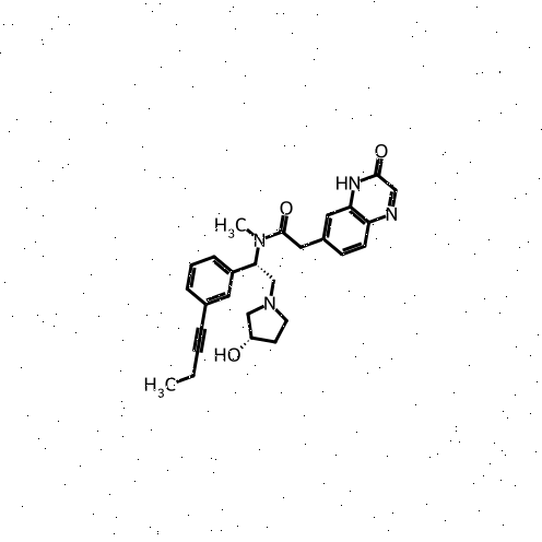 CCC#Cc1cccc([C@@H](CN2CC[C@H](O)C2)N(C)C(=O)Cc2ccc3ncc(=O)[nH]c3c2)c1